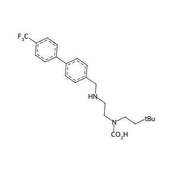 CC(C)(C)CCN(CCNCc1ccc(-c2ccc(C(F)(F)F)cc2)cc1)C(=O)O